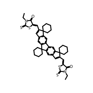 CCN1C(=O)/C(=C/C2=Cc3cc4c(cc3C23CCCCC3)-c2cc3c(cc2C42CCCCC2)C=C(/C=C2\SC(=S)N(CC)C2=O)C32CCCCC2)SC1=S